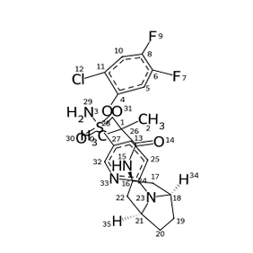 CC(C)(Oc1cc(F)c(F)cc1Cl)C(=O)N[C@H]1C[C@H]2CC[C@@H](C1)N2c1ccc(S(N)(=O)=O)cn1